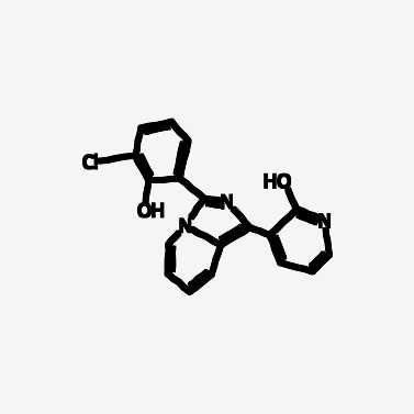 Oc1ncccc1-c1nc(-c2cccc(Cl)c2O)n2ccccc12